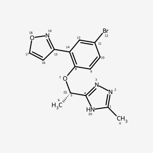 Cc1nnc([C@H](C)Oc2ccc(Br)cc2-c2ccon2)[nH]1